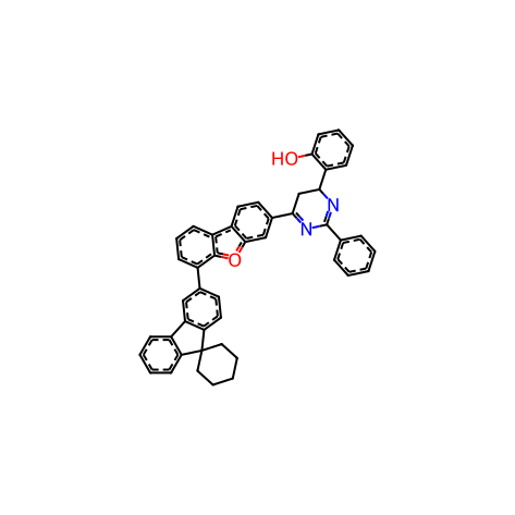 Oc1ccccc1C1CC(c2ccc3c(c2)oc2c(-c4ccc5c(c4)-c4ccccc4C54CCCCC4)cccc23)=NC(c2ccccc2)=N1